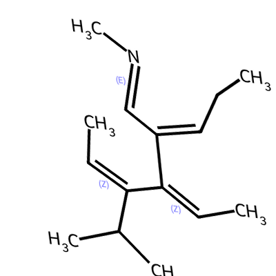 C/C=C(C(=CCC)/C=N/C)/C(=C\C)C(C)C